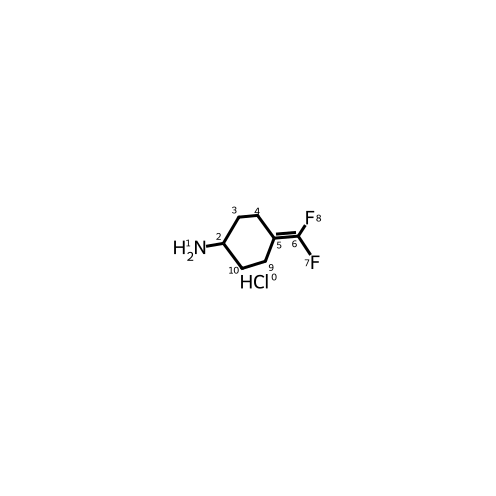 Cl.NC1CCC(=C(F)F)CC1